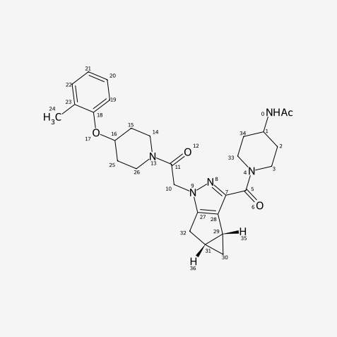 CC(=O)NC1CCN(C(=O)c2nn(CC(=O)N3CCC(Oc4ccccc4C)CC3)c3c2[C@@H]2C[C@@H]2C3)CC1